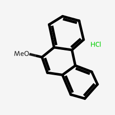 COc1cc2ccccc2c2ccccc12.Cl